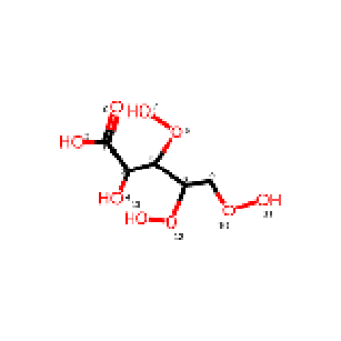 O=C(O)C(O)C(OO)C(COO)OO